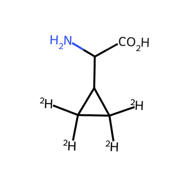 [2H]C1([2H])C(C(N)C(=O)O)C1([2H])[2H]